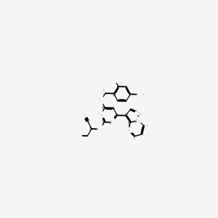 CCC(C#N)Oc1nc(N[C@@H](C)c2ccc(F)cc2F)cc(-c2cnn3cccnc23)n1